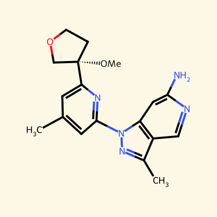 CO[C@@]1(c2cc(C)cc(-n3nc(C)c4cnc(N)cc43)n2)CCOC1